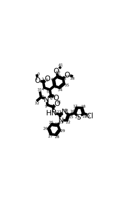 COC(=O)CC(C(=O)N(CC(=O)Nc1nc(-c2ccc(Cl)s2)cn1-c1ccccc1)C(C)C)c1ccc(OC)c(OC)c1